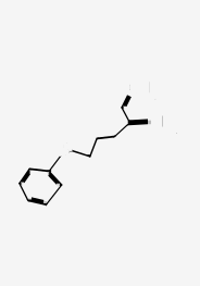 C=CC(=C)CCCSc1ccccc1